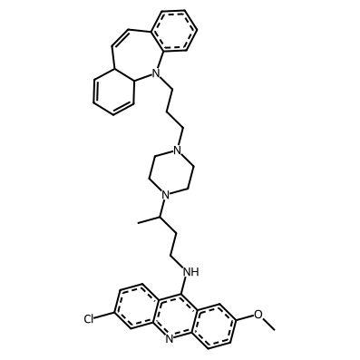 COc1ccc2nc3cc(Cl)ccc3c(NCCC(C)N3CCN(CCCN4c5ccccc5C=CC5C=CC=CC54)CC3)c2c1